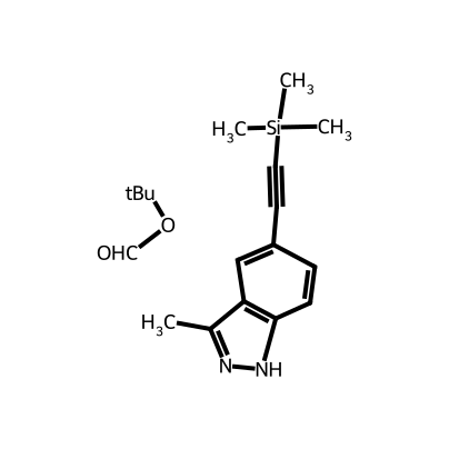 CC(C)(C)OC=O.Cc1n[nH]c2ccc(C#C[Si](C)(C)C)cc12